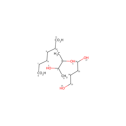 CC(O)C(C)O.O=C(O)CCCCC(=O)O.OCCCCO